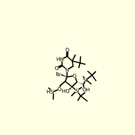 C[SiH](C)OCC1[C@](Br)(N2CC(C)(C(C)(C)C)C(=O)NC2=O)O[C@H](C(O)[Si](C)(C)C(C)(C)C)[C@]1(O)[Si](C)(C)C(C)(C)C